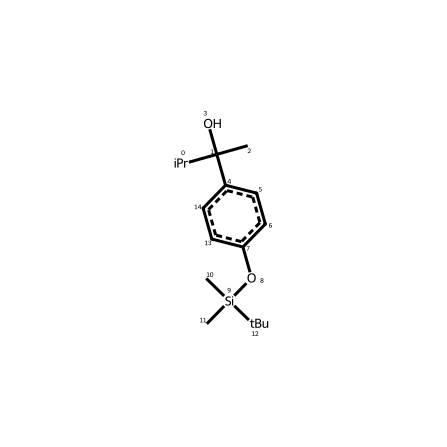 CC(C)C(C)(O)c1ccc(O[Si](C)(C)C(C)(C)C)cc1